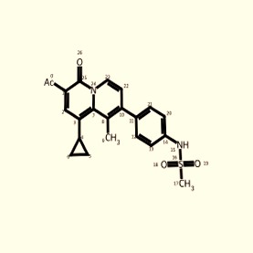 CC(=O)c1cc(C2CC2)c2c(C)c(-c3ccc(NS(C)(=O)=O)cc3)ccn2c1=O